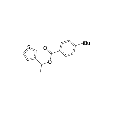 CCC(C)c1ccc(C(=O)OC(C)c2ccsc2)cc1